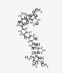 COC(=O)N[C@H](C(=O)N1CCC[C@H]1c1ncc(-c2cc3c(cc2F)Cc2cc(-c4cnc([C@@H]5CCCN5C(=O)[C@@H](NC(=O)OC)C5CCOCC5)[nH]4)ccc2O3)[nH]1)C(C)C